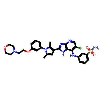 Cc1cc(-c2nc3ncc(Br)c(Nc4cccc(S(N)(=O)=O)c4)c3[nH]2)c(C)n1-c1cccc(OCCN2CCOCC2)c1